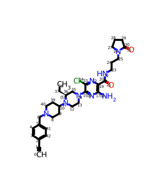 C#Cc1ccc(CN2CCC(N3CCN(c4nc(N)c(C(=O)NCCCN5CCCC5=O)nc4Cl)C[C@@H]3CC)CC2)cc1